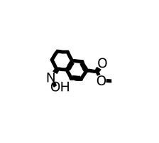 COC(=O)c1ccc2c(c1)CCC/C2=N/O